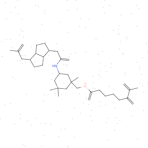 C=C(C)CC1CCC2C(CC(=C)NC3CC(C)(C)CC(C)(CBC(=C)CCCCC(=C)C(=C)C)C3)CCC12